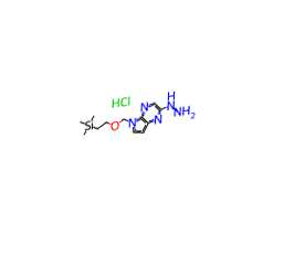 C[Si](C)(C)CCOCn1ccc2nc(NN)cnc21.Cl